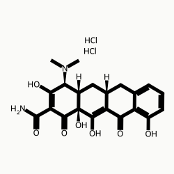 CN(C)[C@@H]1C(O)=C(C(N)=O)C(=O)[C@@]2(O)C(O)=C3C(=O)c4c(O)cccc4C[C@H]3C[C@@H]12.Cl.Cl